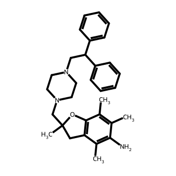 Cc1c(C)c2c(c(C)c1N)CC(C)(CN1CCN(CC(c3ccccc3)c3ccccc3)CC1)O2